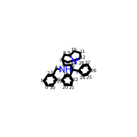 c1ccc(CNC2C3CC4CCC(C3)N4C2C(c2ccccc2)c2ccccc2)cc1